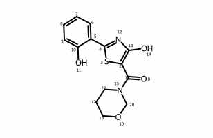 O=C(c1sc(-c2ccccc2O)nc1O)N1CCCOC1